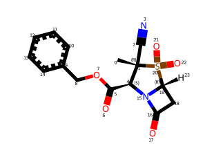 C[C@]1(C#N)[C@H](C(=O)OCc2ccccc2)N2C(=O)C[C@H]2S1(=O)=O